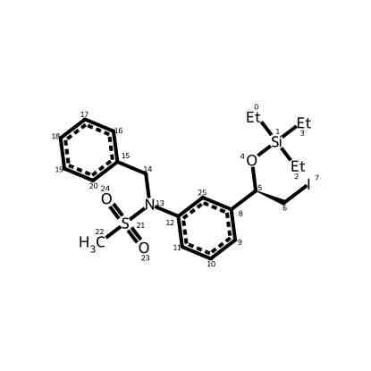 CC[Si](CC)(CC)O[C@@H](CI)c1cccc(N(Cc2ccccc2)S(C)(=O)=O)c1